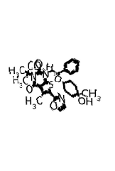 Cc1c(-c2ncco2)sc2c1c(=O)n(C(C)(C)C(=O)O)c(=O)n2C[C@H](O[C@H]1CC[C@@](C)(O)CC1)c1ccccc1